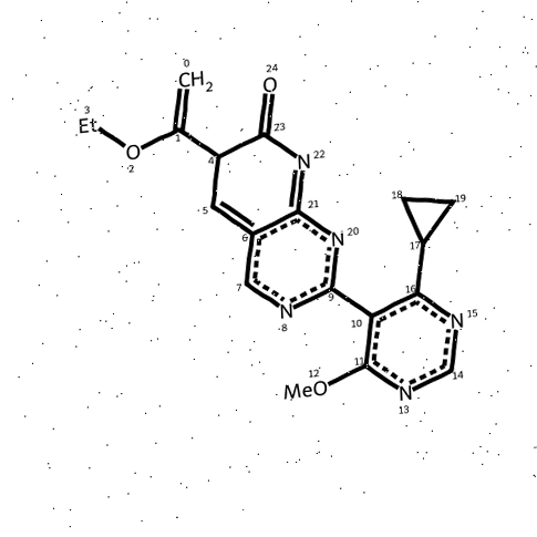 C=C(OCC)C1C=c2cnc(-c3c(OC)ncnc3C3CC3)nc2=NC1=O